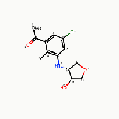 COC(=O)c1cc(Cl)cc(N[C@@H]2COC[C@H]2O)c1C